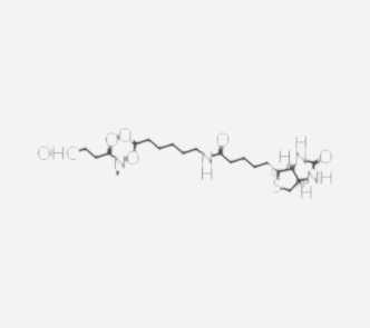 CN(OC(=O)CCCCCNC(=O)CCCC[C@@H]1SC[C@@H]2NC(=O)N[C@@H]21)C(=O)CCC=O